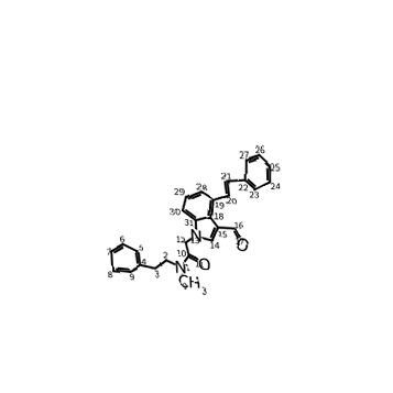 CN(CCc1ccccc1)C(=O)Cn1cc(C=O)c2c(C=Cc3ccccc3)cccc21